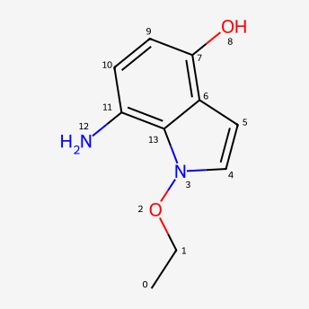 CCOn1ccc2c(O)ccc(N)c21